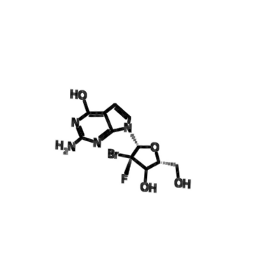 Nc1nc(O)c2ccn([C@@H]3O[C@H](CO)C(O)[C@]3(F)Br)c2n1